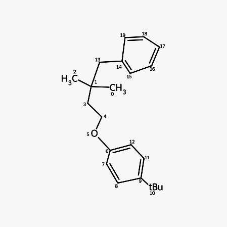 CC(C)(CCOc1ccc(C(C)(C)C)cc1)Cc1ccccc1